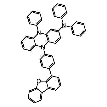 c1ccc(N(c2ccccc2)c2ccc3c(c2)N(c2ccccc2)c2ccccc2N3c2ccc(-c3cccc4c3oc3ccccc34)cc2)cc1